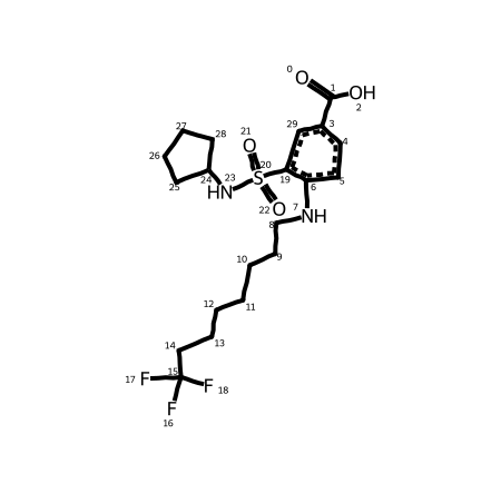 O=C(O)c1ccc(NCCCCCCCC(F)(F)F)c(S(=O)(=O)NC2CCCC2)c1